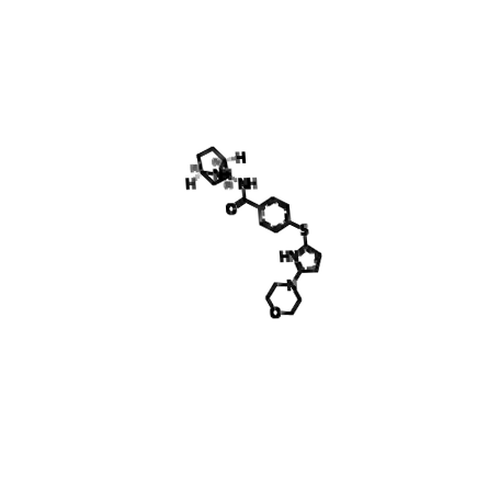 O=C(N[C@@H]1C[C@H]2CC[C@@H]1N2)c1ccc(Sc2ccc(N3CCOCC3)[nH]2)cc1